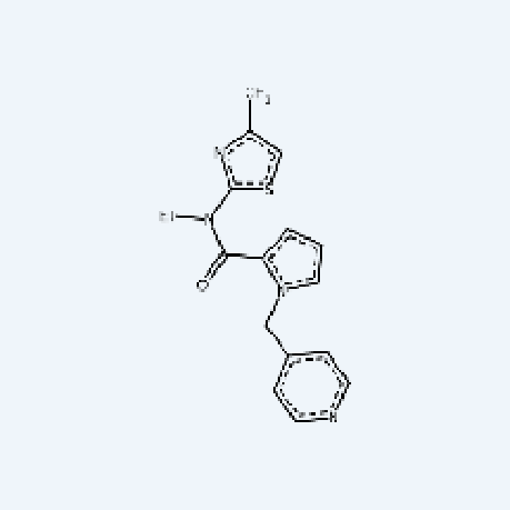 CCN(C(=O)c1cccn1Cc1ccncc1)c1nc(C)cs1